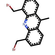 Cc1c2cccc(CBr)c2nc2c(CBr)cccc12